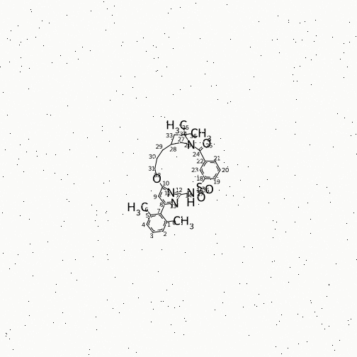 Cc1cccc(C)c1-c1cc2nc(n1)NS(=O)(=O)c1cccc(c1)C(=O)N1CC(CCCO2)CC1(C)C